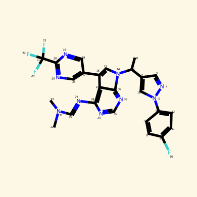 CC(c1cnn(-c2ccc(F)cc2)c1)n1cc(-c2cnc(C(F)(F)F)nc2)c2c(N=CN(C)C)ncnc21